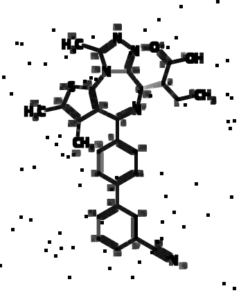 CCC(C(=O)O)[C@@H]1N=C(c2ccc(-c3cccc(C#N)c3)cc2)c2c(sc(C)c2C)-n2c(C)nnc21